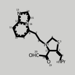 CCCC=C1SCN(CCc2cccc3nccn23)C1C(=O)C=O